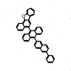 c1ccc(-c2ccc3cc(-c4c5ccccc5c(-c5cc6c7ccccc7oc6c6ccccc56)c5ccccc45)ccc3c2)cc1